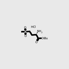 CC(C)COC(=O)[C@@H](N)CCS(C)(=O)=O.Cl